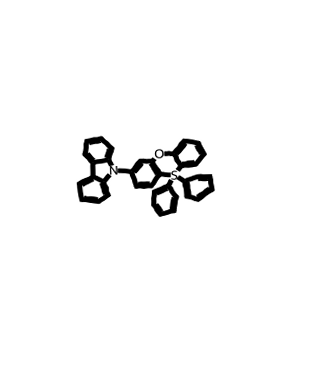 c1ccc(S2(c3ccccc3)c3ccccc3Oc3cc(-n4c5ccccc5c5ccccc54)ccc32)cc1